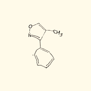 Cc1conc1-c1[c]cccc1